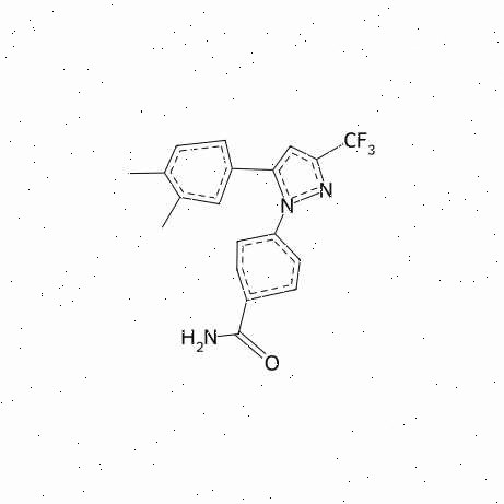 Cc1ccc(-c2cc(C(F)(F)F)nn2-c2ccc(C(N)=O)cc2)cc1C